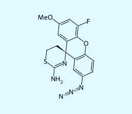 COc1cc(F)c2c(c1)[C@]1(CCSC(N)=N1)c1cc(N=[N+]=[N-])ccc1O2